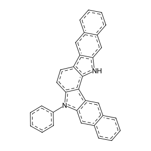 c1ccc(-n2c3cc4ccccc4cc3c3c4[nH]c5cc6ccccc6cc5c4ccc32)cc1